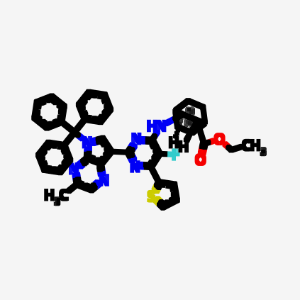 CCOC(=O)[C@H]1C2CCC(CC2)[C@@H]1Nc1nc(-c2cn(C(c3ccccc3)(c3ccccc3)c3ccccc3)c3nc(C)cnc23)nc(-c2cccs2)c1F